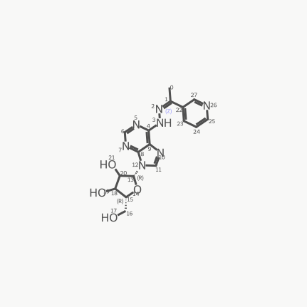 C/C(=N/Nc1ncnc2c1ncn2[C@@H]1O[C@H](CO)C(O)C1O)c1cccnc1